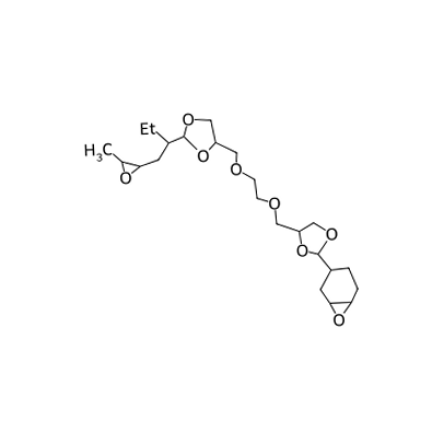 CCC(CC1OC1C)C1OCC(COCCOCC2COC(C3CCC4OC4C3)O2)O1